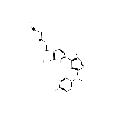 CN(c1ccc(Cl)cc1)c1ccc(O)c(-c2ccc(CNC(=O)CC#N)c(N)n2)c1